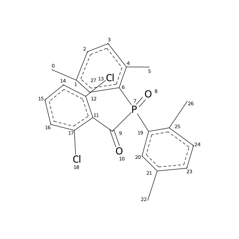 Cc1ccc(C)c(P(=O)(C(=O)c2c(Cl)cccc2Cl)c2cc(C)ccc2C)c1